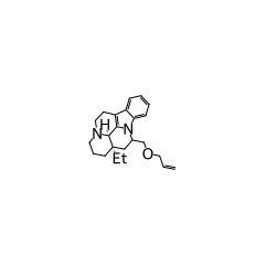 C=CCOCC1C[C@@]2(CC)CCCN3CCc4c(n1c1ccccc41)[C@H]32